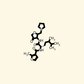 Cc1occc1C(=O)N[C@@H](CCC(C)C(C)C)C(=O)NC1C(=O)COC1CN1CCCC1